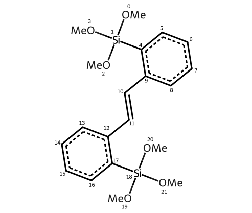 CO[Si](OC)(OC)c1ccccc1/C=C/c1ccccc1[Si](OC)(OC)OC